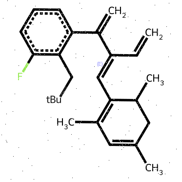 C=C/C(=C\C1=C(C)C=C(C)CC1C)C(=C)c1cccc(F)c1CC(C)(C)C